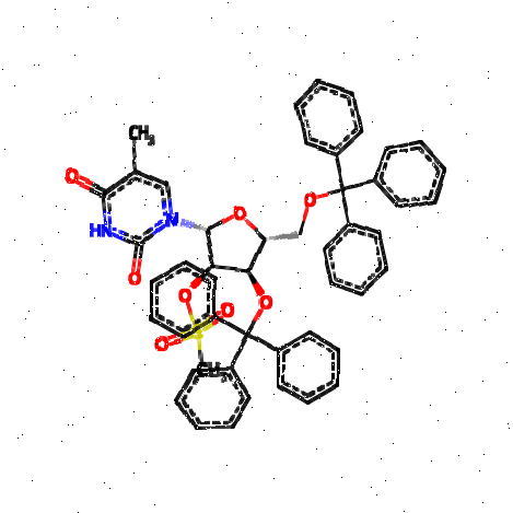 Cc1cn([C@@H]2O[C@H](COC(c3ccccc3)(c3ccccc3)c3ccccc3)[C@@H](OC(c3ccccc3)(c3ccccc3)c3ccccc3)[C@H]2OS(C)(=O)=O)c(=O)[nH]c1=O